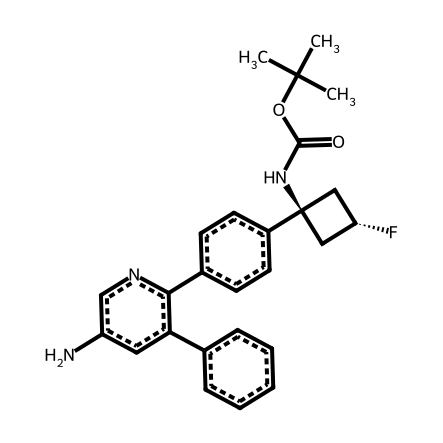 CC(C)(C)OC(=O)N[C@]1(c2ccc(-c3ncc(N)cc3-c3ccccc3)cc2)C[C@@H](F)C1